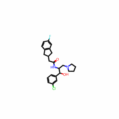 O=C(CC1Cc2ccc(F)cc2C1)NC(CN1CCCC1)C(O)c1cccc(Cl)c1